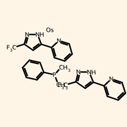 CP(C)c1ccccc1.FC(F)(F)c1cc(-c2ccccn2)[nH]n1.FC(F)(F)c1cc(-c2ccccn2)[nH]n1.[Os]